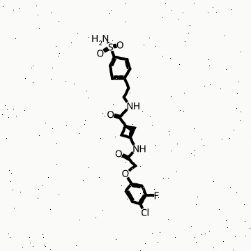 NS(=O)(=O)c1ccc(CCNC(=O)C23CC(NC(=O)COc4ccc(Cl)c(F)c4)(C2)C3)cc1